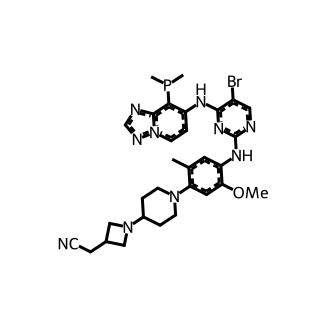 COc1cc(N2CCC(N3CC(CC#N)C3)CC2)c(C)cc1Nc1ncc(Br)c(Nc2ccn3ncnc3c2P(C)C)n1